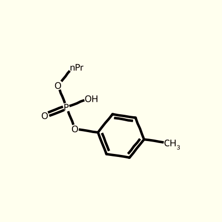 CCCOP(=O)(O)Oc1ccc(C)cc1